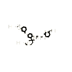 COc1ccc2nc(NC(=O)N3CC4(CCN(C(C)=O)C4)c4cc(Oc5cccc(S(C)(=O)=O)c5)ccc43)sc2n1